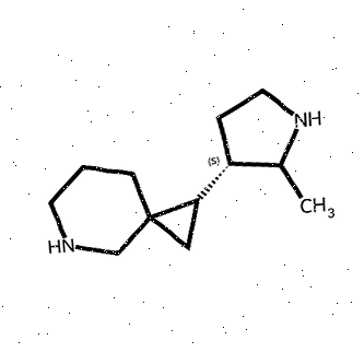 CC1NCC[C@H]1C1CC12CCCNC2